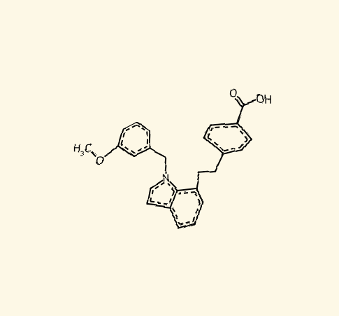 COc1cccc(Cn2ccc3cccc(CCc4ccc(C(=O)O)cc4)c32)c1